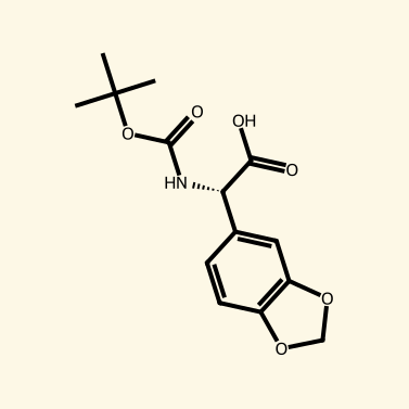 CC(C)(C)OC(=O)N[C@H](C(=O)O)c1ccc2c(c1)OCO2